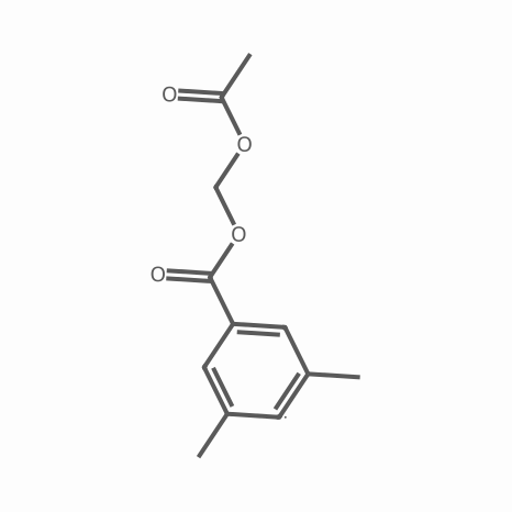 CC(=O)OCOC(=O)c1cc(C)[c]c(C)c1